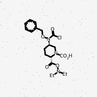 CCN(CC)OC(=O)[C@@H]1CC[C@@H](N(OCc2ccccc2)C(=O)Cl)CN1C(=O)O